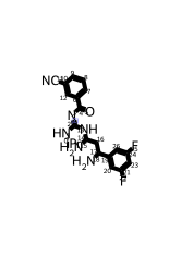 CC(C)N/C(=N/C(=O)c1cccc(C#N)c1)NC(N)CC(N)c1cc(F)cc(F)c1